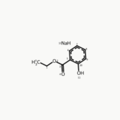 CCOC(=O)c1ccccc1O.[NaH]